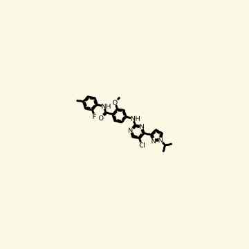 COc1cc(Nc2ncc(Cl)c(-c3ccn(C(C)C)n3)n2)ccc1C(=O)Nc1ccc(C)cc1F